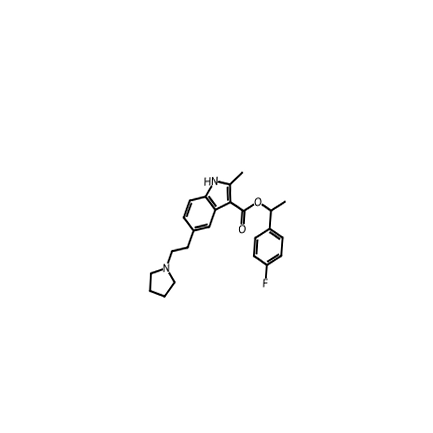 Cc1[nH]c2ccc(CCN3CCCC3)cc2c1C(=O)OC(C)c1ccc(F)cc1